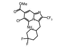 COC(=O)c1cc2nc(C(F)(F)F)c(CC3CCC(F)(F)CC3)n2c(N)c1Cl